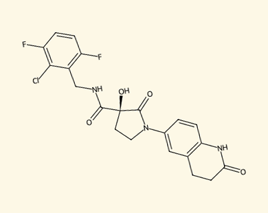 O=C1CCc2cc(N3CC[C@](O)(C(=O)NCc4c(F)ccc(F)c4Cl)C3=O)ccc2N1